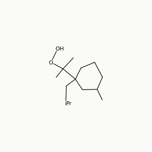 CC(C)CC1(C(C)(C)OO)CCCC(C)C1